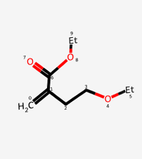 C=C(CCOCC)C(=O)OCC